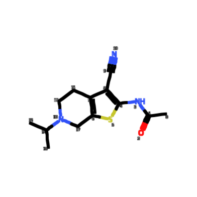 CC(=O)Nc1sc2c(c1C#N)CCN(C(C)C)C2